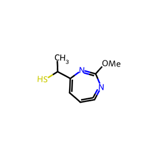 COC1=NC(C(C)S)=CC=C=N1